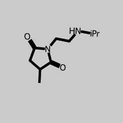 CC(C)NCCN1C(=O)CC(C)C1=O